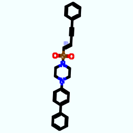 O=S(=O)(/C=C/C#Cc1ccccc1)N1CCN(c2ccc(-c3ccccc3)cc2)CC1